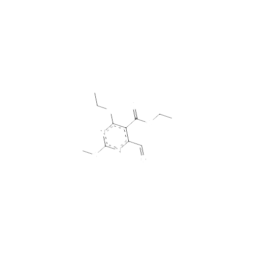 CCOC(=O)c1c(C=O)nc(SC)nc1OCC